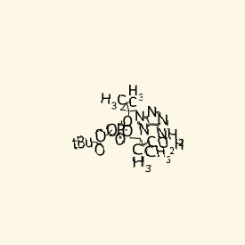 CC(C)(C)C(=O)OCOP(=O)(COC1(Cn2cnc3c(N)ncnc32)CC1(C)C)OCCC(C)(C)C(=O)O